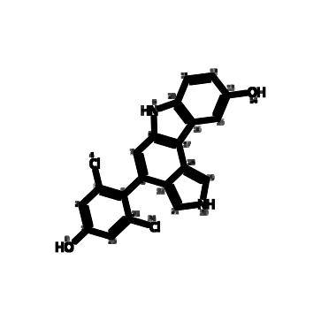 Oc1cc(Cl)c(-c2cc3[nH]c4ccc(O)cc4c3c3c[nH]cc23)c(Cl)c1